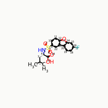 CC(C)C[C@H](NS(=O)(=O)c1ccc2oc3cc(F)ccc3c2c1)C(=O)O